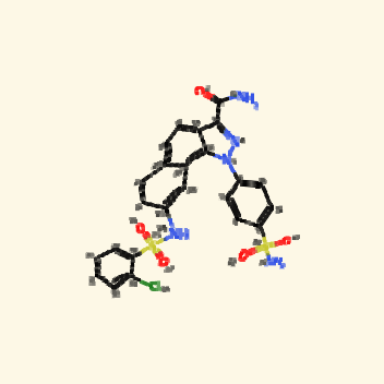 NC(=O)c1nn(-c2ccc(S(N)(=O)=O)cc2)c2c1ccc1ccc(NS(=O)(=O)c3ccccc3Cl)cc12